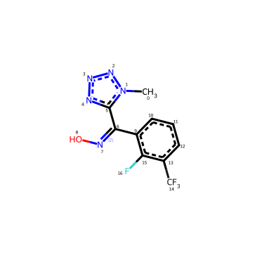 Cn1nnnc1/C(=N\O)c1cccc(C(F)(F)F)c1F